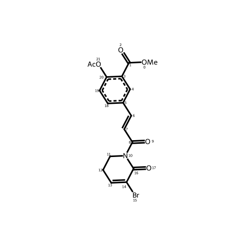 COC(=O)c1cc(C=CC(=O)N2CCC=C(Br)C2=O)ccc1OC(C)=O